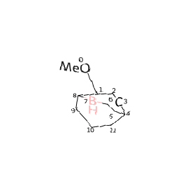 COC1CCC2CCBC1CCC2